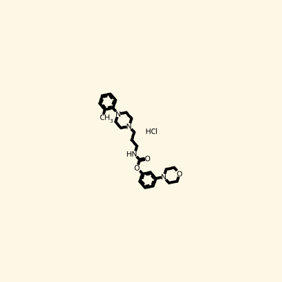 Cc1ccccc1N1CCN(CCCNC(=O)Oc2cccc(N3CCOCC3)c2)CC1.Cl